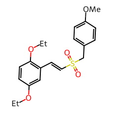 CCOc1ccc(OCC)c(C=CS(=O)(=O)Cc2ccc(OC)cc2)c1